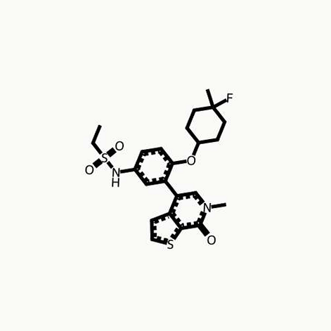 CCS(=O)(=O)Nc1ccc(OC2CCC(C)(F)CC2)c(-c2cn(C)c(=O)c3sccc23)c1